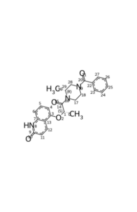 C[C@H](Oc1cccc2[nH]c(=O)ccc12)C(=O)N1CCN(C(=O)c2ccccc2)C[C@H]1C